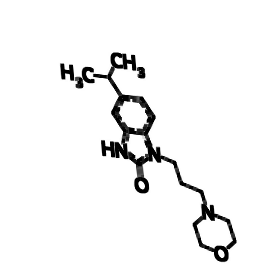 CC(C)c1ccc2c(c1)[nH]c(=O)n2CCCN1CCOCC1